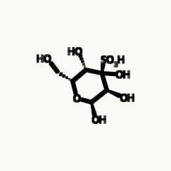 O=S(=O)(O)[C@@]1(O)[C@@H](O)[C@@H](O)O[C@H](CO)[C@@H]1O